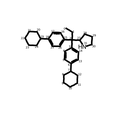 CCC(c1ccc(C2CCCCC2)cc1)(c1ccc(C2CCCCC2)cc1)C1CCCN1